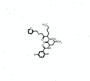 CCCCC(NC(=O)C(CC(C)C)NC(=O)c1cc(F)ccc1F)C(=O)CSCc1ccco1